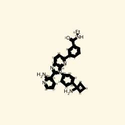 CCNC(=O)c1cccc(-c2ccc3nc(-c4cccnc4N)n(-c4ccc(C5(N)CCC5)cc4)c3n2)c1